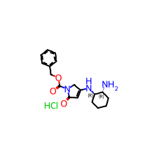 Cl.N[C@@H]1CCCC[C@H]1NC1=CC(=O)N(C(=O)OCc2ccccc2)C1